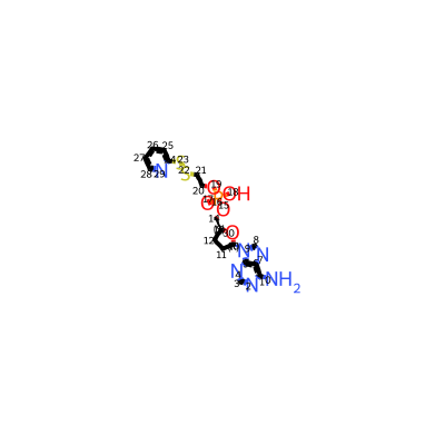 Nc1ncnc2c1ncn2[C@H]1CC[C@@H](COP(=O)(O)OCCSSc2ccccn2)O1